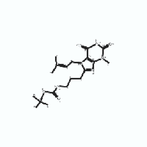 CC(C)=CCn1c(CCCNC(=O)OC(C)(C)C)nc2c1c(=O)[nH]c(=O)n2C